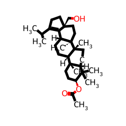 CC(=O)O[C@H]1CC[C@@]2(C)[C@H](CC[C@]3(C)[C@@H]2CC[C@@H]2C4=C(C(C)C)CC[C@]4(CO)CC[C@]23C)C1(C)C